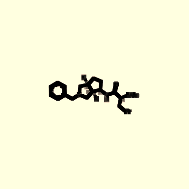 CN[C@@H](CC(C)C)C(=O)N[C@@H]1CC[C@@H]2CN(Cc3ccccc3)C[C@@H]21